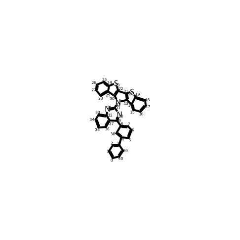 c1ccc(-c2cccc(-c3nc(-n4c5c6ccccc6sc5c5sc6ccccc6c54)nc4ccccc34)c2)cc1